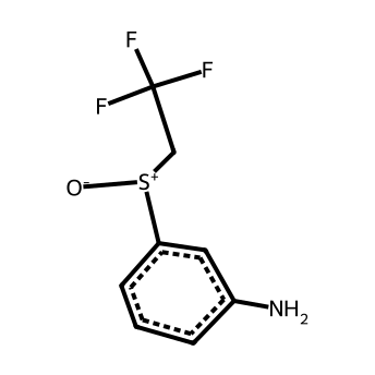 Nc1cccc([S+]([O-])CC(F)(F)F)c1